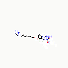 CC1c2c(ccc(OCCCCCCCCn3ccnc3)c2Cl)N=C2NC(=O)C(C(N)=O)N21